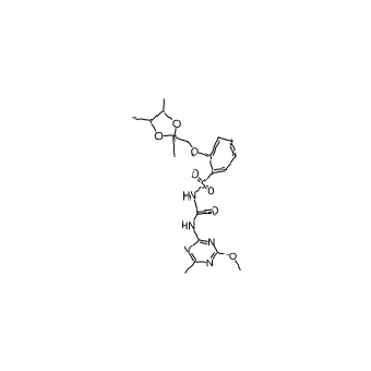 COc1nc(C)nc(NC(=O)NS(=O)(=O)c2ccccc2OCC2(C)OC(C)C(C)O2)n1